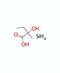 CCC(C)(O)C(=O)O.[SiH4]